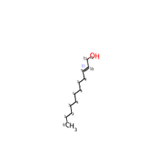 CCCCCCCCC/C=C/CO